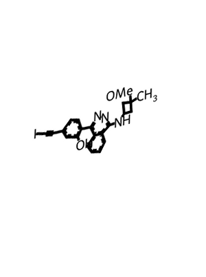 COC1(C)CC(Nc2nnc(-c3ccc(C#CI)cc3O)c3ccccc23)C1